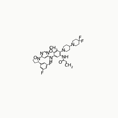 C=CC(=O)Nc1cc(Nc2cc(N3OCC[C@@H]3c3cc(F)cc(F)c3)ncn2)c(OC)cc1N1CCC(N2CCC(F)(F)CC2)CC1